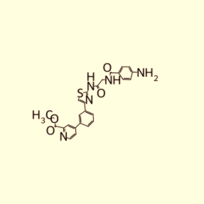 COC(=O)c1cc(-c2cccc(-c3csc(NC(=O)CNC(=O)c4ccc(N)cc4)n3)c2)ccn1